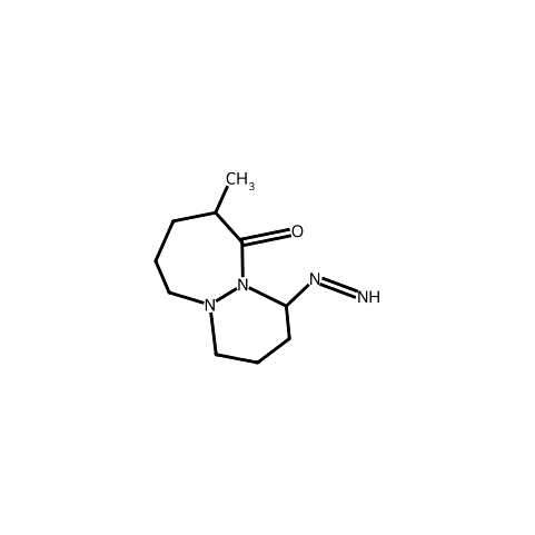 CC1CCCN2CCCC(N=N)N2C1=O